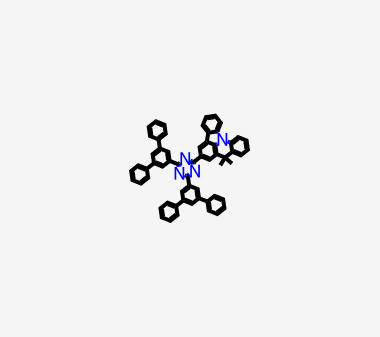 CC1(C)c2ccccc2-n2c3ccccc3c3cc(-c4nc(-c5cc(-c6ccccc6)cc(-c6ccccc6)c5)nc(-c5cc(-c6ccccc6)cc(-c6ccccc6)c5)n4)cc1c32